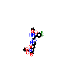 CC(C)(C)OC(=O)N[C@H](c1cn2ncc(CC3CC4(COC4)N(C(=O)OC(C)(C)C)C3=O)cc2n1)C1CCC(F)(F)CC1